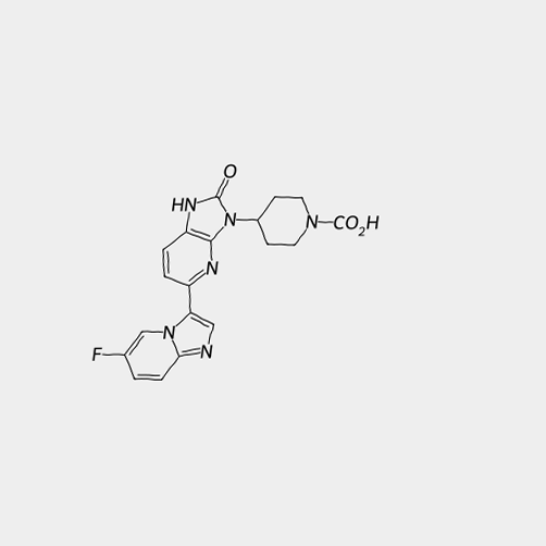 O=C(O)N1CCC(n2c(=O)[nH]c3ccc(-c4cnc5ccc(F)cn45)nc32)CC1